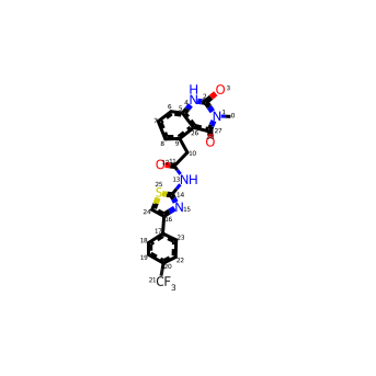 Cn1c(=O)[nH]c2cccc(CC(=O)Nc3nc(-c4ccc(C(F)(F)F)cc4)cs3)c2c1=O